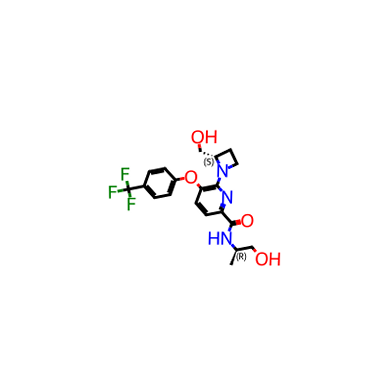 C[C@H](CO)NC(=O)c1ccc(Oc2ccc(C(F)(F)F)cc2)c(N2CC[C@H]2CO)n1